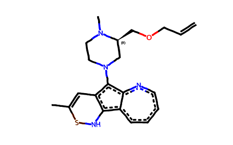 C=CCOC[C@H]1CN(c2c3nccccc-3c3c2C=C(C)SN3)CCN1C